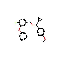 Fc1ccc(COC(c2ccc(OC(F)(F)F)cc2)C2CC2)cc1Oc1ccccc1